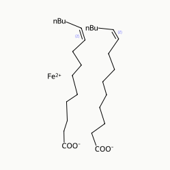 CCCC/C=C\CCCCCCCC(=O)[O-].CCCC/C=C\CCCCCCCC(=O)[O-].[Fe+2]